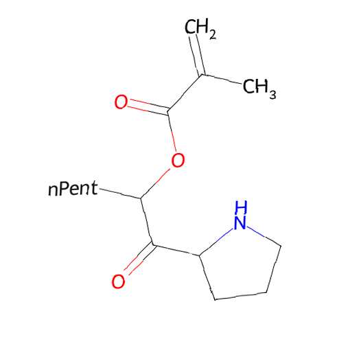 C=C(C)C(=O)OC(CCCCC)C(=O)C1CCCN1